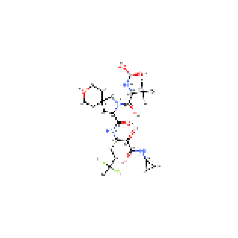 CC(F)(F)CC[C@H](NC(=O)C1CC2(CCOCC2)CN1C(=O)[C@@H](NC(=O)O)C(C)(C)C)C(=O)C(=O)NC1CC1